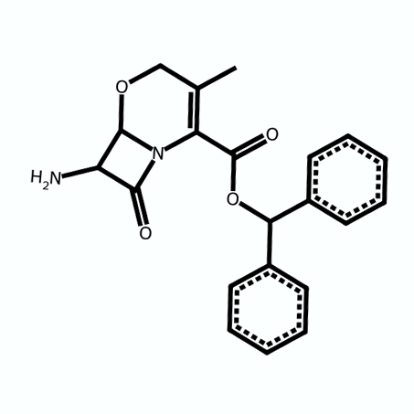 CC1=C(C(=O)OC(c2ccccc2)c2ccccc2)N2C(=O)C(N)C2OC1